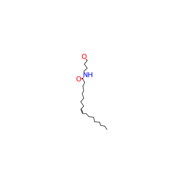 CCCCCCCC/C=C\CCCCCCCC(=O)NCCCC=O